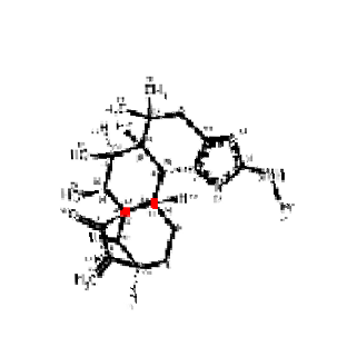 C=C1C(=O)[C@]23[C@H](O)[C@H]1CC[C@H]2[C@@]12CO[C@]3(O)[C@@H](O)[C@@H]1C(C)(C)Cc1sc(NC(C)C)nc12